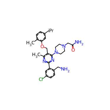 Cc1ccc(C(C)C)cc1OCc1c(C)nc(-c2cc(Cl)ccc2CN)nc1N1CCN(CC(N)=O)CC1